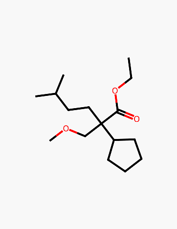 CCOC(=O)C(CCC(C)C)(COC)C1CCCC1